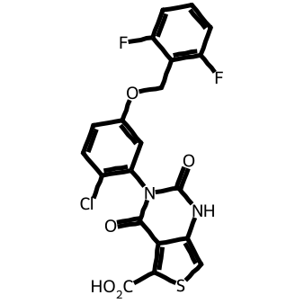 O=C(O)c1scc2[nH]c(=O)n(-c3cc(OCc4c(F)cccc4F)ccc3Cl)c(=O)c12